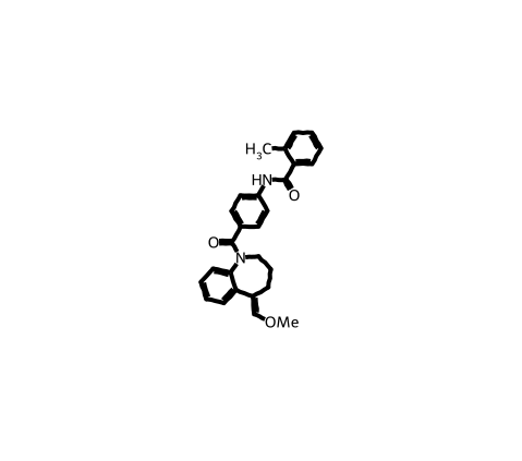 COC=C1CCCN(C(=O)c2ccc(NC(=O)c3ccccc3C)cc2)c2ccccc21